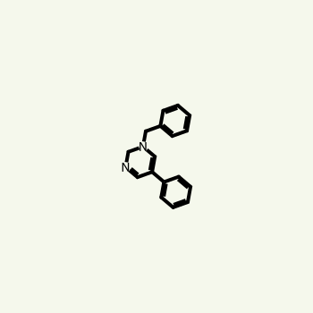 C1=NCN(Cc2ccccc2)C=C1c1ccccc1